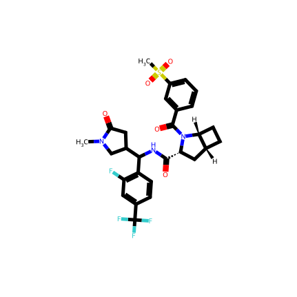 CN1CC(C(NC(=O)[C@H]2C[C@H]3CC[C@H]3N2C(=O)c2cccc(S(C)(=O)=O)c2)c2ccc(C(F)(F)F)cc2F)CC1=O